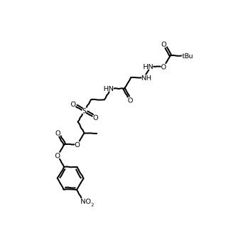 CC(CS(=O)(=O)CCNC(=O)CNNOC(=O)C(C)(C)C)OC(=O)Oc1ccc([N+](=O)[O-])cc1